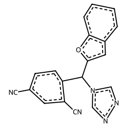 N#Cc1ccc(C(c2cc3ccccc3o2)n2cnnc2)c(C#N)c1